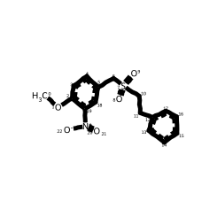 COc1ccc(CS(=O)(=O)CCc2ccccc2)cc1[N+](=O)[O-]